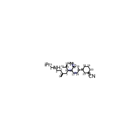 C=C(CCNCC(C)C)C/C(C(=C)C)=C(\C=C/C(C)[C@H]1CCC[C@@H](C#N)C1)C(/C)=N\C